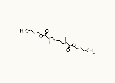 CCCCOC(=O)NCCCCNC(=O)OCCCC